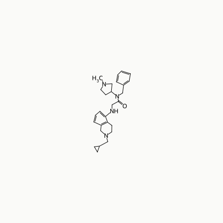 CN1CCC(N(Cc2ccccc2)C(=O)CNc2cccc3c2CCN(CC2CC2)C3)C1